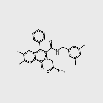 Cc1cc(C)cc(CNC(=O)c2c(-c3ccccc3)c3cc(C)c(C)cc3c(=O)n2CC(N)=O)c1